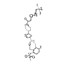 CS(=O)(=O)Oc1ccc(F)c2c1COC(c1csc(C3CCN(C(=O)CO/N=C/C(F)(F)F)CC3)n1)OC2